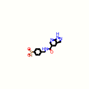 O=C(NCc1ccc([SH](=O)=O)cc1)c1cnc2[nH]ncc2c1